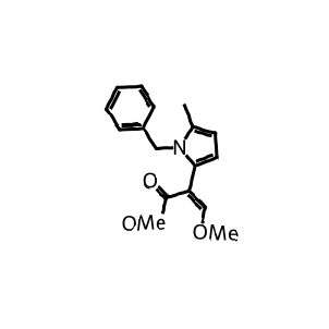 CO/C=C(\C(=O)OC)c1ccc(C)n1Cc1ccccc1